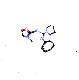 Cn1cco/c1=N/C(=N/c1ccccc1)N1CCCC1